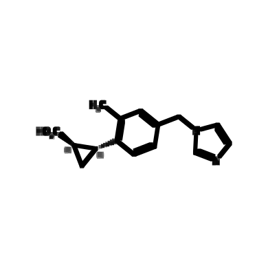 Cc1cc(Cn2ccnc2)ccc1[C@@H]1C[C@H]1C(=O)O